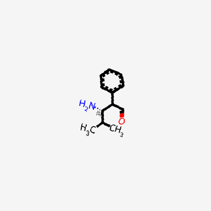 CC(C)[C@H](N)C(C=O)c1ccccc1